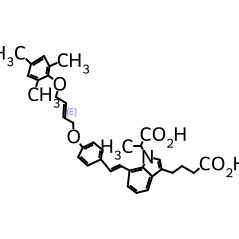 Cc1cc(C)c(OC/C=C/COc2ccc(C=Cc3cccc4c(CCCC(=O)O)cn(C(C)C(=O)O)c34)cc2)c(C)c1